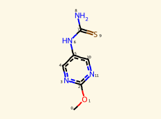 COc1ncc(NC(N)=S)cn1